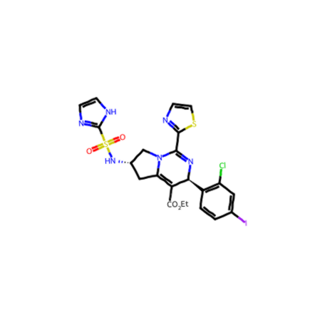 CCOC(=O)C1=C2C[C@H](NS(=O)(=O)c3ncc[nH]3)CN2C(c2nccs2)=N[C@H]1c1ccc(I)cc1Cl